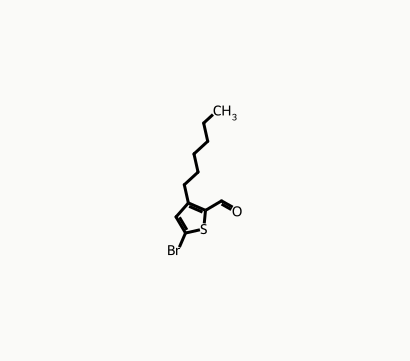 CCCCCCc1cc(Br)sc1C=O